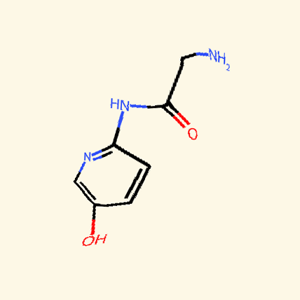 NCC(=O)Nc1ccc(O)cn1